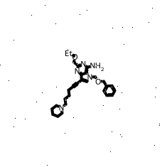 CCOCc1nc(N)c2c(n1)c(C#CCCCCN1CCCCC1)cn2COCc1ccccc1